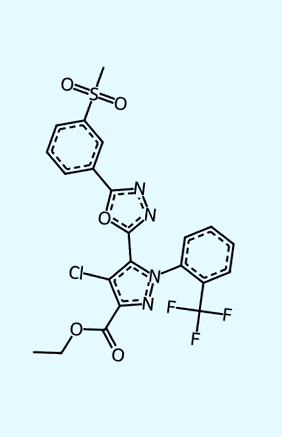 CCOC(=O)c1nn(-c2ccccc2C(F)(F)F)c(-c2nnc(-c3cccc(S(C)(=O)=O)c3)o2)c1Cl